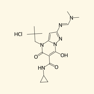 CN(C)C=Nc1cc2n(CC(C)(C)C)c(=O)c(C(=O)NC3CC3)c(O)n2n1.Cl